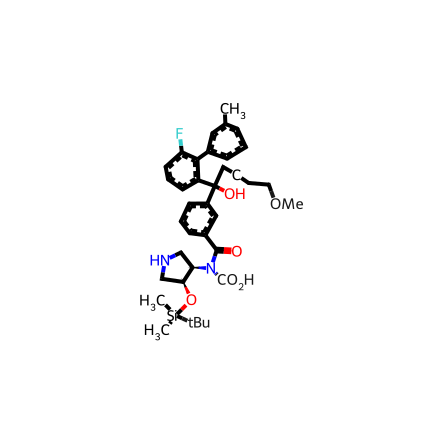 COCCCCC(O)(c1cccc(C(=O)N(C(=O)O)[C@@H]2CNC[C@@H]2O[Si](C)(C)C(C)(C)C)c1)c1cccc(F)c1-c1cccc(C)c1